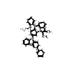 Cc1c(C)n2c3c(cccc13)B1c3ccccc3N(C)c3cc(-n4c5ccccc5c5cc(C6=CC=CCC6)ccc54)cc-2c31